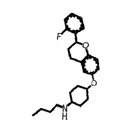 CCCCNC1CCC(Oc2ccc3c(c2)CCC(c2ccccc2F)O3)CC1